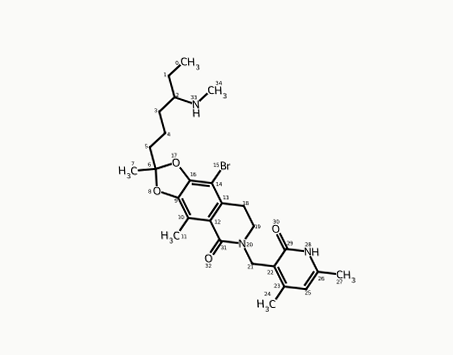 CCC(CCCC1(C)Oc2c(C)c3c(c(Br)c2O1)CCN(Cc1c(C)cc(C)[nH]c1=O)C3=O)NC